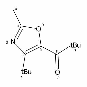 Cc1nc(C(C)(C)C)c(C(=O)C(C)(C)C)o1